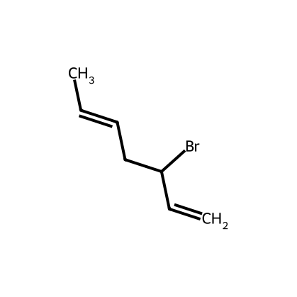 C=CC(Br)CC=CC